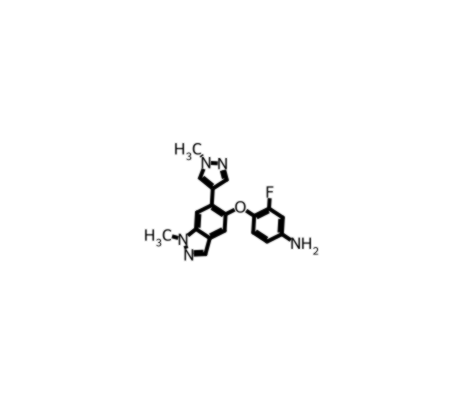 Cn1cc(-c2cc3c(cnn3C)cc2Oc2ccc(N)cc2F)cn1